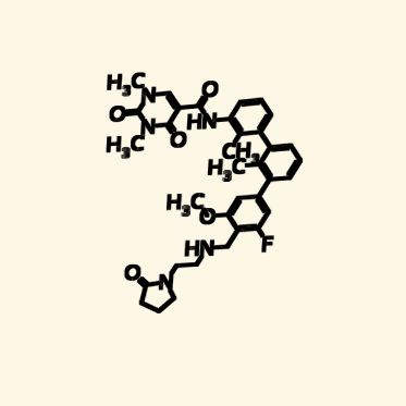 COc1cc(-c2cccc(-c3cccc(NC(=O)c4cn(C)c(=O)n(C)c4=O)c3C)c2C)cc(F)c1CNCCN1CCCC1=O